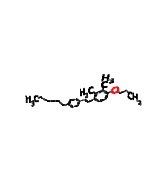 CCCCCc1ccc(C=Cc2ccc(OCCC)c(C)c2C)cc1